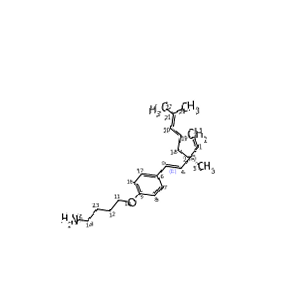 C=C[C@@](C)(/C=C/c1ccc(OCCCCN)cc1)CCC=C(C)C